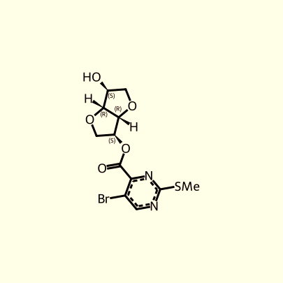 CSc1ncc(Br)c(C(=O)O[C@H]2CO[C@H]3[C@@H]2OC[C@@H]3O)n1